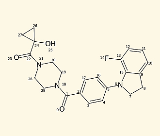 O=C(c1ccc(N2CCc3cccc(F)c32)cc1)N1CCN(C(=O)C2(O)CC2)CC1